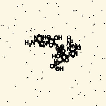 Nc1nc2c(ncn2[C@@H]2O[C@H](CO[PH](=O)O)C(O)C2OP(=O)(O)OC[C@H]2O[C@@H](n3ccc4c(N)ncnc43)C(O)C2O)c(=O)[nH]1